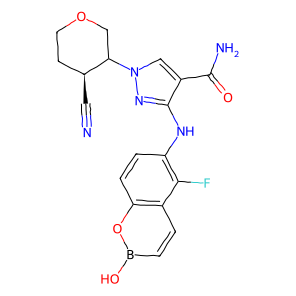 N#C[C@H]1CCOCC1n1cc(C(N)=O)c(Nc2ccc3c(c2F)C=CB(O)O3)n1